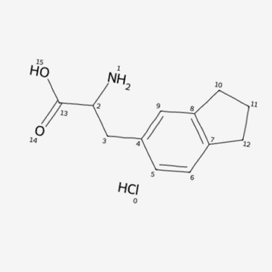 Cl.NC(Cc1ccc2c(c1)CCC2)C(=O)O